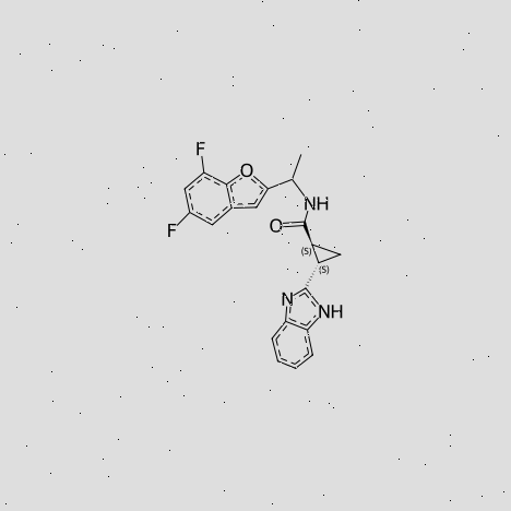 CC(NC(=O)[C@H]1C[C@@H]1c1nc2ccccc2[nH]1)c1cc2cc(F)cc(F)c2o1